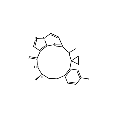 C[C@@H]1CCc2ccc(F)cc2C2(CC2)N(C)c2ccn3ncc(c3n2)C(=O)N1